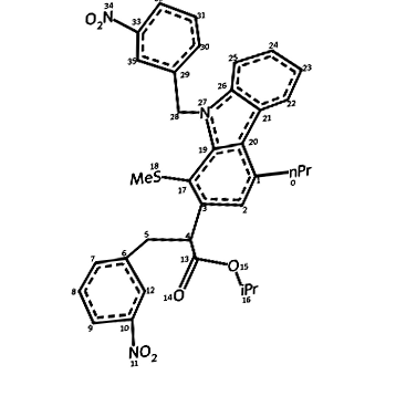 CCCc1cc(C(Cc2cccc([N+](=O)[O-])c2)C(=O)OC(C)C)c(SC)c2c1c1ccccc1n2Cc1cccc([N+](=O)[O-])c1